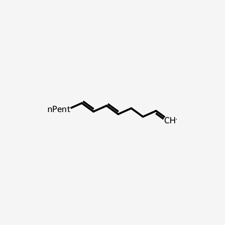 [CH]=CCCC=CC=CCCCCC